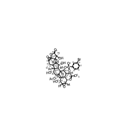 CC(=O)O[C@H]1[C@H]2[C@@H]([C@@H](OS(=O)(=O)c3cccc(Br)c3)[C@@H](NC(=O)C(F)(F)F)C3C[C@@H]4O[C@@H]4[C@H](O)[C@@]32C)[C@@H]2[C@@H](O)[C@@H]3[C@H]([C@H](C)[C@H]4O[C@]45OC(=O)[C@@](C)(O)[C@]35C)[C@@]2(C(C)=O)[C@H]1O